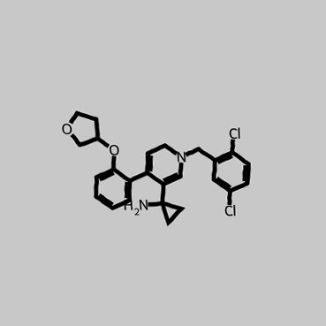 NC1(C2=CN(Cc3cc(Cl)ccc3Cl)CC=C2c2ccccc2OC2CCOC2)CC1